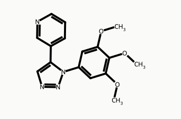 COc1cc(-n2nncc2-c2cccnc2)cc(OC)c1OC